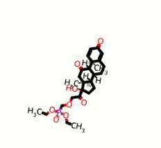 CCOP(=O)(COCC(=O)[C@@]1(O)CC[C@H]2[C@@H]3CCC4=CC(=O)C=C[C@]4(C)[C@H]3C(=O)C[C@@]21C)OCC